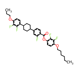 CCCCCCOc1ccc(OC(=O)c2ccc(C3CCC(c4ccc(OCCC)c(F)c4F)CC3)cc2F)c(F)c1F